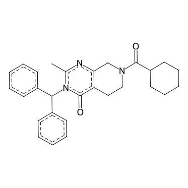 Cc1nc2c(c(=O)n1C(c1ccccc1)c1ccccc1)CCN(C(=O)C1CCCCC1)C2